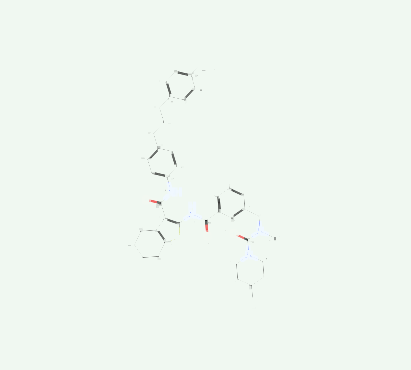 CC(C)N(Cc1cccc(C(=O)Nc2sc3c(c2C(=O)Nc2ccc(CCCc4ccc(C(=O)O)cc4)cc2)CCCC3)c1)C(=O)N1CCC(C(=O)O)CC1